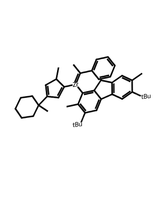 C/[C](c1ccccc1)=[Zr](\[C]1=CC(C2(C)CCCCC2)=CC1C)[c]1c(C)c(C(C)(C)C)cc2c1Cc1cc(C)c(C(C)(C)C)cc1-2